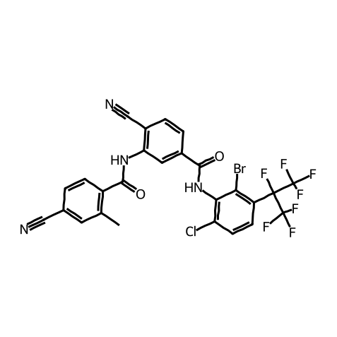 Cc1cc(C#N)ccc1C(=O)Nc1cc(C(=O)Nc2c(Cl)ccc(C(F)(C(F)(F)F)C(F)(F)F)c2Br)ccc1C#N